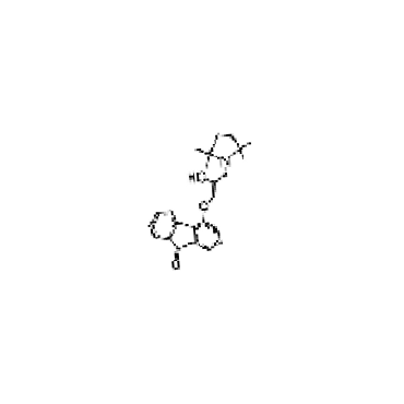 CC1(C)CCC(C)(C)N1CC(O)COc1cccc2c1-c1ccccc1C2=O